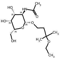 CCOC(C)(C)CCO[C@@H]1O[C@H](CO)[C@H](O)[C@H](O)[C@H]1NC(C)=O